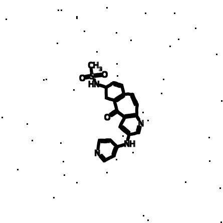 CS(=O)(=O)NC1C=Cc2ccc3ncc(Nc4ccncc4)cc3c(=O)c2C1